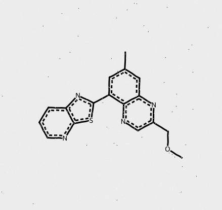 COCc1cnc2c(-c3nc4cccnc4s3)cc(C)cc2n1